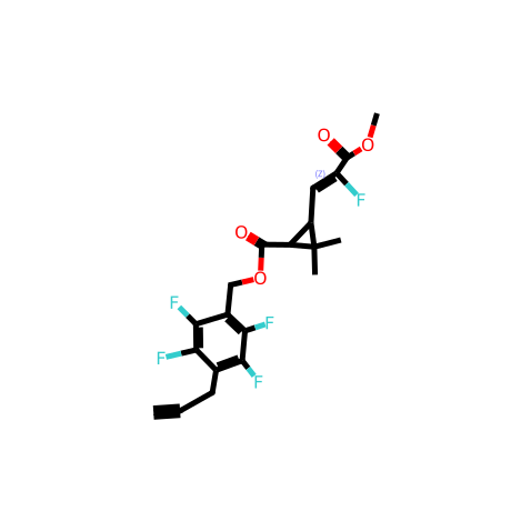 C#CCc1c(F)c(F)c(COC(=O)C2C(/C=C(\F)C(=O)OC)C2(C)C)c(F)c1F